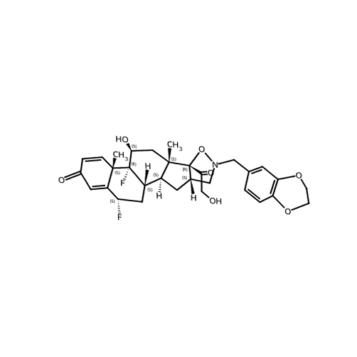 C[C@]12C=CC(=O)C=C1[C@@H](F)C[C@H]1[C@@H]3C[C@H]4CN(Cc5ccc6c(c5)OCCO6)O[C@@]4(C(=O)CO)[C@@]3(C)C[C@H](O)[C@@]12F